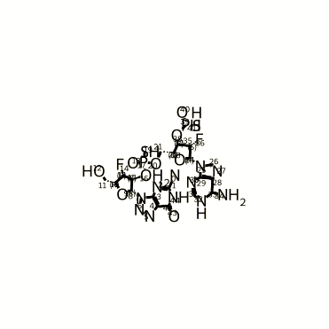 Nc1nc2c(nnn2[C@@H]2O[C@H](CO)[C@@H](F)[C@H]2OP(=O)(S)OC[C@H]2O[C@@H](n3cnc4c3N=CNC4N)[C@@H](F)[C@@H]2O[PH](=O)S)c(=O)[nH]1